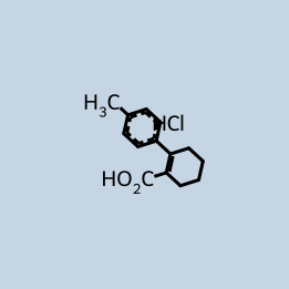 Cc1ccc(C2=C(C(=O)O)CCCC2)cc1.Cl